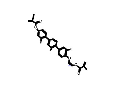 C=C(C)C(=O)O/C=C\Oc1ccc(-c2ccc(-c3ccc(OC(=O)C(=C)C)cc3F)cc2F)cc1F